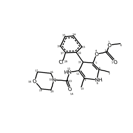 COC(=O)OC1=C(C)NC(C)=C(NC(=O)N2CCOCC2)C1c1ccccc1Cl